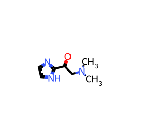 CN(C)CC(=O)c1ncc[nH]1